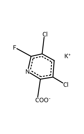 O=C([O-])c1nc(F)c(Cl)cc1Cl.[K+]